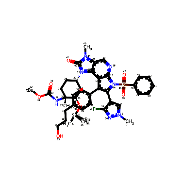 Cn1cc(-c2c(-c3ccc(CCCO)cc3)c3c(ncc4c3n([C@H]3CC[C@@](C)(NC(=O)OC(C)(C)C)[C@H](O[Si](C)(C)C(C)(C)C)C3)c(=O)n4C)n2S(=O)(=O)c2ccccc2)c(F)n1